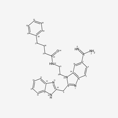 N=C(N)c1ccc2nc(Cc3nc4ccccc4[nH]3)n(CCNC(=O)CCCc3ccccc3)c2c1